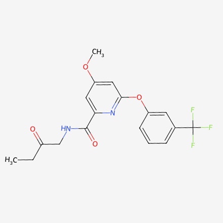 CCC(=O)CNC(=O)c1cc(OC)cc(Oc2cccc(C(F)(F)F)c2)n1